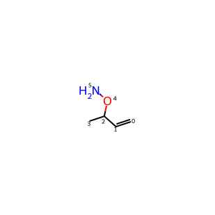 C=CC(C)ON